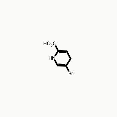 O=C(O)C1=CCC(Br)=CN1